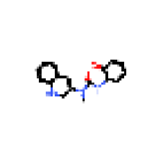 CN(C(=O)NC1C=CC=CC1=O)C1=Cc2ccccc2NC1